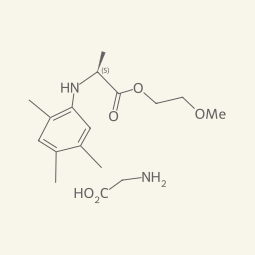 COCCOC(=O)[C@H](C)Nc1cc(C)c(C)cc1C.NCC(=O)O